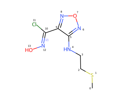 CSCCNc1nonc1/C(Cl)=N/O